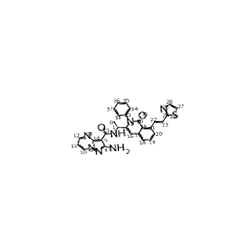 C[C@H](NC(=O)c1c(N)nn2cccnc12)c1cc2cccc(/C=C/c3nccs3)c2c(=O)n1-c1ccccc1